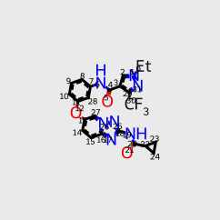 CCn1cc(C(=O)Nc2cccc(Oc3ccc4nc(NC(=O)C5CC5)nn4c3)c2)c(C(F)(F)F)n1